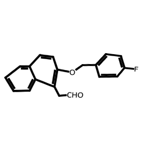 O=CCc1c(OCc2ccc(F)cc2)ccc2ccccc12